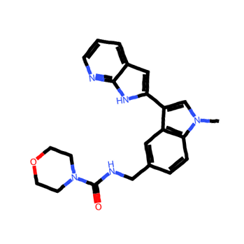 Cn1cc(-c2cc3cccnc3[nH]2)c2cc(CNC(=O)N3CCOCC3)ccc21